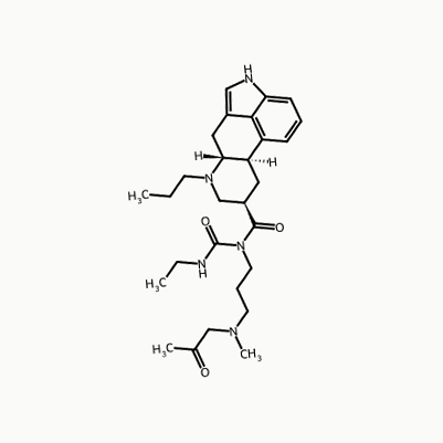 CCCN1C[C@H](C(=O)N(CCCN(C)CC(C)=O)C(=O)NCC)C[C@@H]2c3cccc4[nH]cc(c34)C[C@H]21